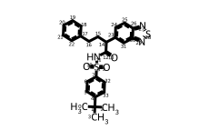 CC(C)(C)c1ccc(S(=O)(=O)NC(=O)C(CCc2ccccc2)c2ccc3nsnc3c2)cc1